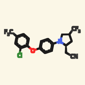 N#CC[C@@H]1CC(C(F)(F)F)CN1c1ccc(Oc2ccc(C(F)(F)F)cc2Cl)cc1